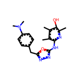 Cc1nc(Nc2nnc(Cc3ccc(N(C)C)cc3)o2)c(C)c(C)c1O